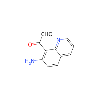 Nc1ccc2cccnc2c1C(=O)C=O